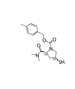 Cc1ccc(COC(=O)N2C[C@@H](S)C[C@H]2C(=O)N(C)C)cc1